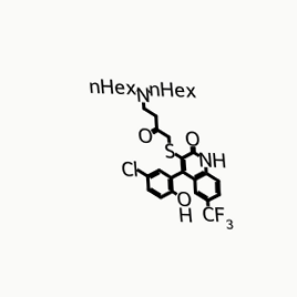 CCCCCCN(CCCCCC)CCC(=O)CSc1c(-c2cc(Cl)ccc2O)c2cc(C(F)(F)F)ccc2[nH]c1=O